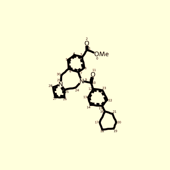 COC(=O)c1ccc2c(c1)N(C(=O)c1ccc(C3CCCCC3)cc1)Cc1cccn1C2